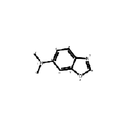 CN(C)c1ccc2ncoc2c1